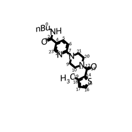 CCCCNC(=O)c1ccc(N2CCN(C(=O)c3sccc3C)CC2)nc1